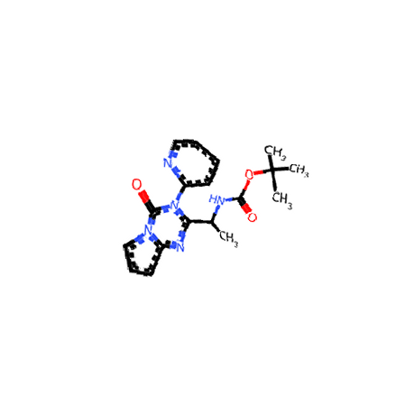 CC(NC(=O)OC(C)(C)C)c1nc2cccn2c(=O)n1-c1ccccn1